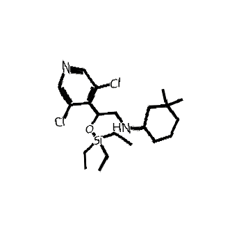 CC[Si](CC)(CC)OC(CNC1CCCC(C)(C)C1)c1c(Cl)cncc1Cl